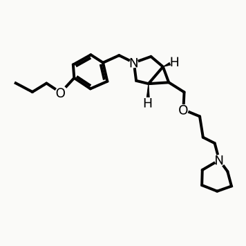 CCCOc1ccc(CN2C[C@@H]3C(COCCCN4CCCCC4)[C@@H]3C2)cc1